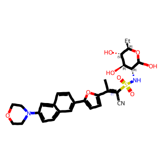 CC[C@H]1OC(O)[C@H](NS(=O)(=O)/C(C#N)=C(\C)c2ccc(-c3ccc4cc(N5CCOCC5)ccc4c3)o2)[C@@H](O)[C@@H]1O